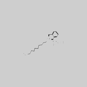 CCCCCCCCC[CH2][Na].O=C(O)c1ccccc1C(=O)O.[NaH]